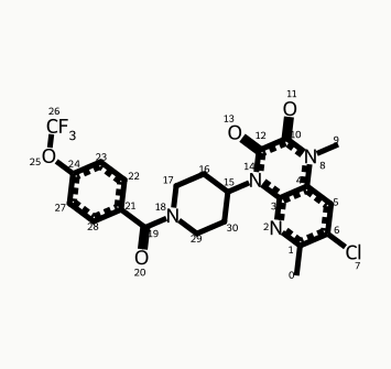 Cc1nc2c(cc1Cl)n(C)c(=O)c(=O)n2C1CCN(C(=O)c2ccc(OC(F)(F)F)cc2)CC1